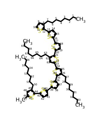 CCCCCCCCc1ccsc1-c1ccc(-c2ccc(-c3sc(-c4cc(CCCCCCCC)c(-c5ccc(-c6ccc(-c7sc(C)cc7CCCCCCCC)s6)s5)s4)cc3CCCCCCCC)s2)s1